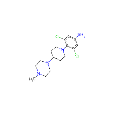 CN1CCN(C2CCN(c3c(Cl)cc(N)cc3Cl)CC2)CC1